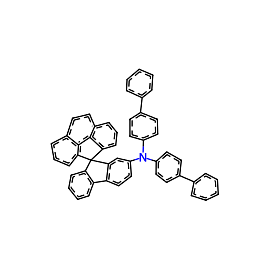 c1ccc(-c2ccc(N(c3ccc(-c4ccccc4)cc3)c3ccc4c(c3)C3(c5ccccc5-4)c4cccc5ccc6cccc3c6c45)cc2)cc1